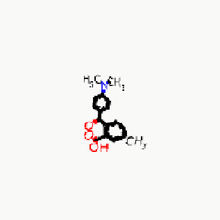 Cc1ccc(C(=O)c2ccc(N(C)C)cc2)c(C(=O)O)c1